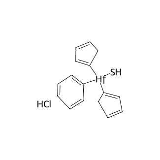 Cl.[SH][Hf]([C]1=CC=CC1)([C]1=CC=CC1)[c]1ccccc1